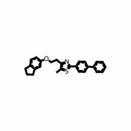 Cc1sc(-c2ccc(-c3ccccc3)cc2)nc1CCOc1ccc2c(c1)CCC2